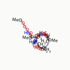 COCCOCCOCCOCCNC(=O)O[C@@H]1CC[C@@H](C[C@@H](C)[C@@H]2CC(N=[N+]=[N-])[C@H](C)/C=C(\C)[C@@H](O)[C@@H](O)C(=O)[C@H](C)C[C@H](C)/C=C/C=C/C=C(\C)[C@@H](OC)C[C@@H]3CC[C@@H](C)[C@@](O)(O3)C(=O)C(=O)N3CCCC[C@H]3C(=O)O2)C[C@H]1OC